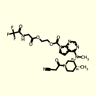 C[C@@H]1CCN(C(=O)CC#N)C[C@@H]1N(C)c1ncnc2c1ccn2C(=O)OCCOC(=O)CNC(=O)C(F)(F)F